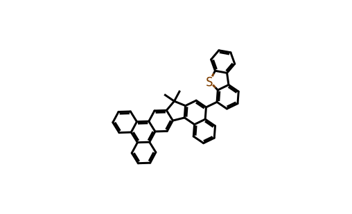 CC1(C)c2cc3c4ccccc4c4ccccc4c3cc2-c2c1cc(-c1cccc3c1sc1ccccc13)c1ccccc21